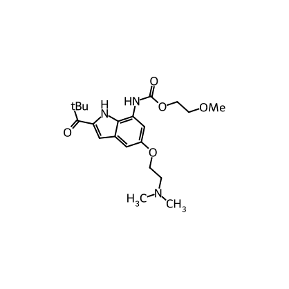 COCCOC(=O)Nc1cc(OCCN(C)C)cc2cc(C(=O)C(C)(C)C)[nH]c12